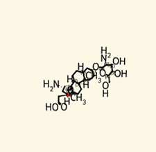 C[C@]12CC[C@H](O[C@@H]3O[C@H](CO)[C@@H](O)[C@H](O)[C@H]3N)C[C@H]1CC[C@@H]1[C@@H]2CC[C@]2(C)[C@@H]3CC[C@]12O[C@@H](N)[C@H]3CC(=O)O